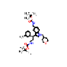 Cc1cccc(C(CCNC(=O)OC(C)(C)C)c2cn(CC3CCOCC3)c3ccc(CNC(=O)OC(C)(C)C)cc23)c1